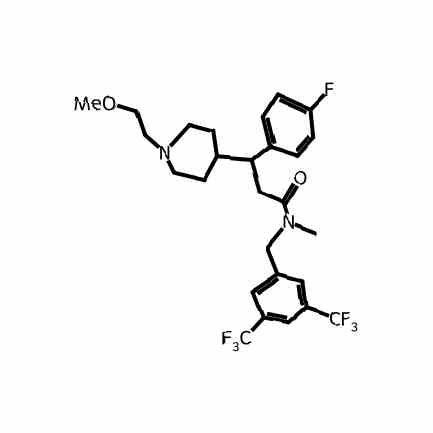 COCCN1CCC(C(CC(=O)N(C)Cc2cc(C(F)(F)F)cc(C(F)(F)F)c2)c2ccc(F)cc2)CC1